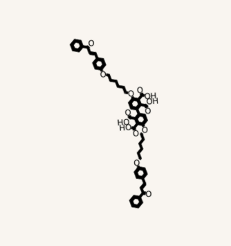 O=C(C=Cc1ccc(OCCCCCCOc2ccc(-c3ccc(OCCCCCCOc4ccc(C=CC(=O)c5ccccc5)cc4)c(C(=O)O)c3C(=O)O)c(C(=O)O)c2C(=O)O)cc1)c1ccccc1